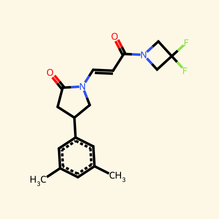 Cc1cc(C)cc(C2CC(=O)N(/C=C/C(=O)N3CC(F)(F)C3)C2)c1